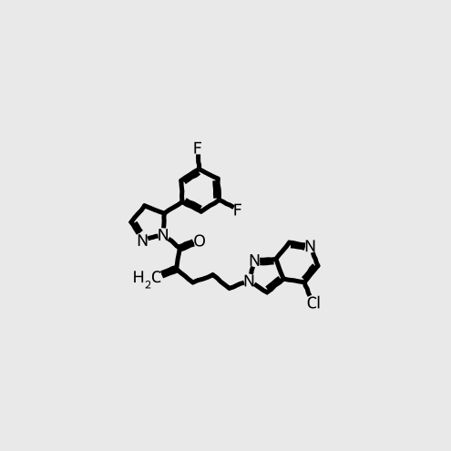 C=C(CCCn1cc2c(Cl)cncc2n1)C(=O)N1N=CCC1c1cc(F)cc(F)c1